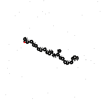 c1ccc(-c2cc(-c3cc(-c4ccnc5c4ccc4ccc(-c6cccc(-c7ccc8ccc(-c9ccc%10nc(-c%11cccc(-c%12ccc%13ccc%14cccnc%14c%13n%12)c%11)ccc%10c9)cc8n7)c6)nc45)ccn3)cc(-c3ccc4cc(-c5ccc6ccc(-c7cccc(-c8ccc9ccc%10cccnc%10c9n8)c7)nc6c5)ccc4n3)c2)nc1